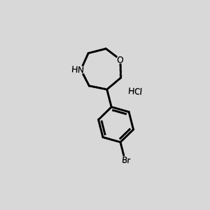 Brc1ccc(C2CNCCOC2)cc1.Cl